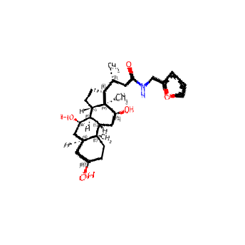 C[C@H](CC(=O)NCc1ccco1)[C@H]1CC[C@H]2[C@@H]3[C@H](O)C[C@@H]4C[C@H](O)CC[C@]4(C)[C@H]3C[C@H](O)[C@]12C